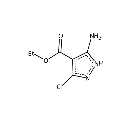 CCOC(=O)c1c(Cl)n[nH]c1N